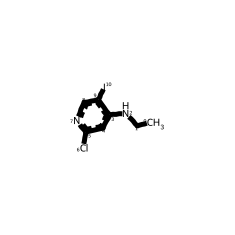 CCNc1cc(Cl)ncc1I